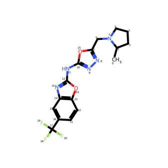 CC1CCCN1Cc1nnc(Nc2nc3cc(C(F)(F)F)ccc3o2)o1